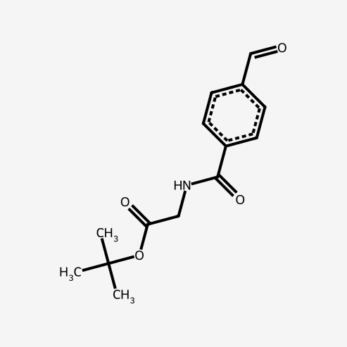 CC(C)(C)OC(=O)CNC(=O)c1ccc(C=O)cc1